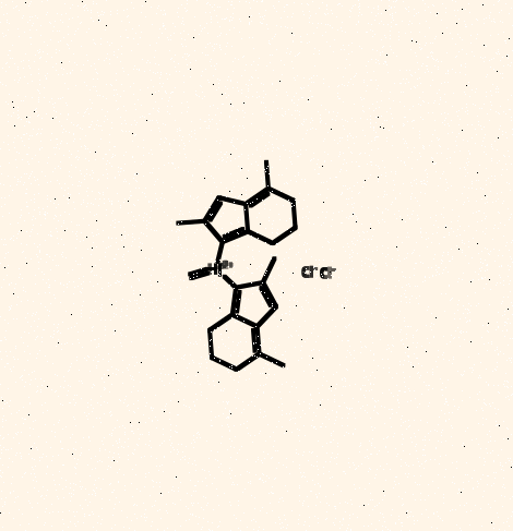 [CH2]=[Hf+2]([C]1=C2CCCC(C)=C2C=C1C)[C]1=C2CCCC(C)=C2C=C1C.[Cl-].[Cl-]